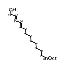 CCCCCCCCCCCCCCCCC=CN=CCO